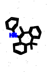 CC1=C(Nc2ccccc2)c2ccccc2C(C)(C)c2ccccc21